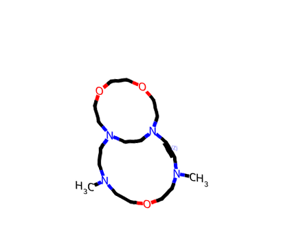 CN1/C=C\N2CCOCCOCCN(CCN(C)CCOCC1)CC2